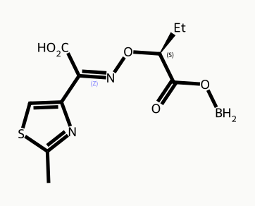 BOC(=O)[C@H](CC)O/N=C(\C(=O)O)c1csc(C)n1